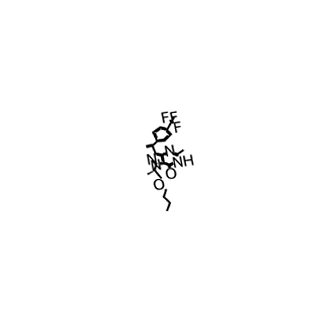 C=C(c1ccc(C(F)(F)F)cc1)c1nn([C@H](C)COCCCC)c2c(=O)[nH]c(C)nc12